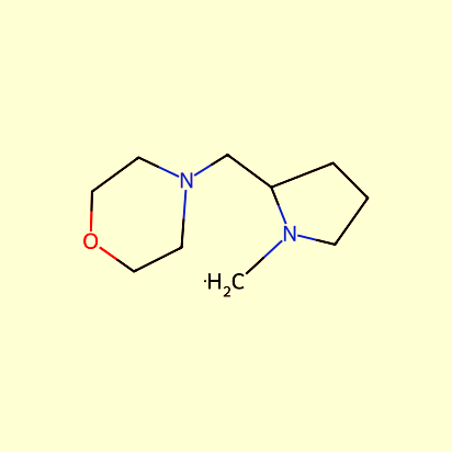 [CH2]N1CCCC1CN1CCOCC1